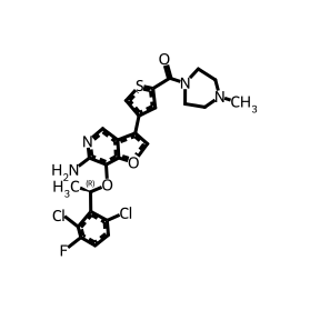 C[C@@H](Oc1c(N)ncc2c(-c3csc(C(=O)N4CCN(C)CC4)c3)coc12)c1c(Cl)ccc(F)c1Cl